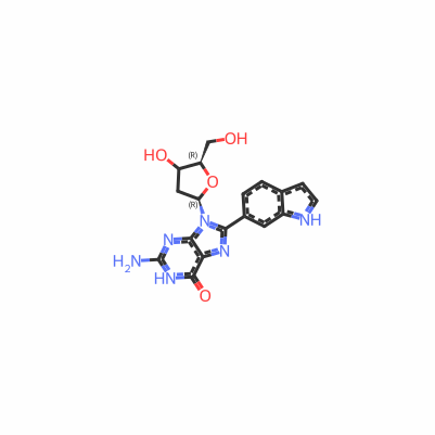 Nc1nc2c(nc(-c3ccc4cc[nH]c4c3)n2[C@H]2CC(O)[C@@H](CO)O2)c(=O)[nH]1